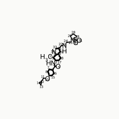 Cc1c(NC(=O)c2ccc(OCC3CC3)cc2)ccc2cc(CNCCN3CCCS3(=O)=O)cnc12